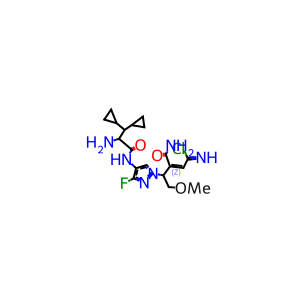 COCC(/C(=C/C(=N)Cl)C(N)=O)n1cc(NC(=O)C(N)C(C2CC2)C2CC2)c(F)n1